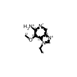 CCn1cnc2cnc(N)c(OC)c21